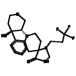 O=C1NCN(CCC(F)(F)F)C12CCN([C@H]1COCC[C@@]1(O)c1ccccc1)CC2